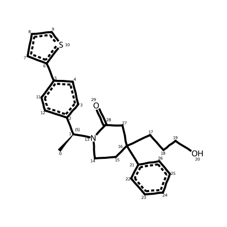 C[C@@H](c1ccc(-c2cccs2)cc1)N1CCC(CCCO)(c2ccccc2)CC1=O